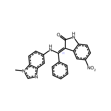 Cn1cnc2cc(N/C(=C3\C(=O)Nc4ccc([N+](=O)[O-])cc43)c3ccccc3)ccc21